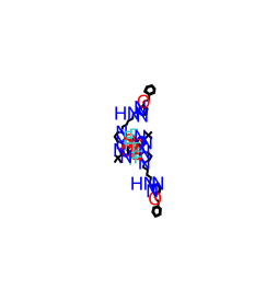 CC(C)(C)c1nc(N2CCCN(CCCCNc3nccc(OCc4ccccc4)n3)CC2OC(=O)C(=O)OC2CN(CCCCNc3nccc(OCc4ccccc4)n3)CCCN2c2cc(C(F)(F)F)nc(C(C)(C)C)n2)cc(C(F)(F)F)n1